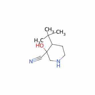 CC(C)(C)C1CCNCC1(O)C#N